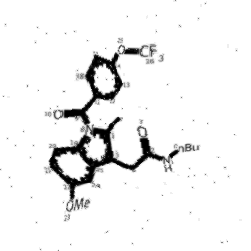 CCCCNC(=O)Cc1c(C)n(C(=O)c2ccc(OC(F)(F)F)cc2)c2ccc(OC)cc12